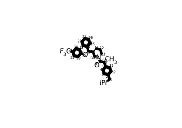 CC(C)Cc1ccc([C@H](C)C(=O)N2CCC[C@H]([C@H](Oc3ccc(C(F)(F)F)cc3)c3ccccc3)C2)cc1